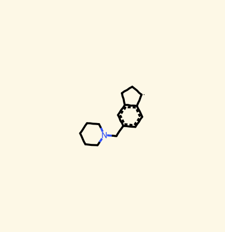 [CH]1CCc2cc(CN3CCCCC3)ccc21